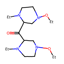 CCON1CCN(CC)C(C(=O)C2CN(OCC)CCN2CC)C1